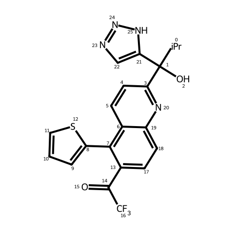 CC(C)C(O)(c1ccc2c(-c3cccs3)c(C(=O)C(F)(F)F)ccc2n1)c1cnn[nH]1